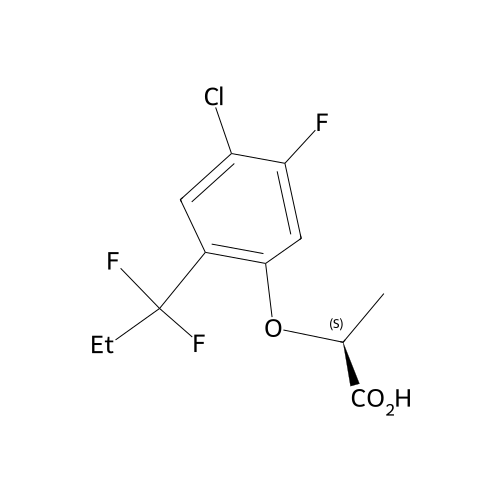 CCC(F)(F)c1cc(Cl)c(F)cc1O[C@@H](C)C(=O)O